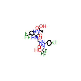 O=C(Cn1nc(-c2ccc(Cl)cc2)n(C[C@H](O)C(F)(F)F)c1=O)NC(C(=O)NC1(C(=O)O)CC1)c1cccc(C(F)(F)F)c1